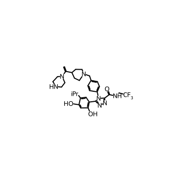 C=C(C1CCN(Cc2ccc(-n3c(C(=O)NCC(F)(F)F)nnc3-c3cc(C(C)C)c(O)cc3O)cc2)CC1)N1CCNCC1